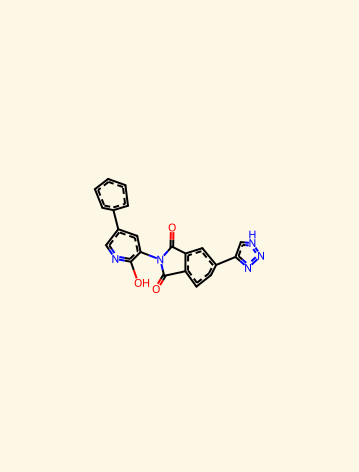 O=C1c2ccc(-c3c[nH]nn3)cc2C(=O)N1c1cc(-c2ccccc2)cnc1O